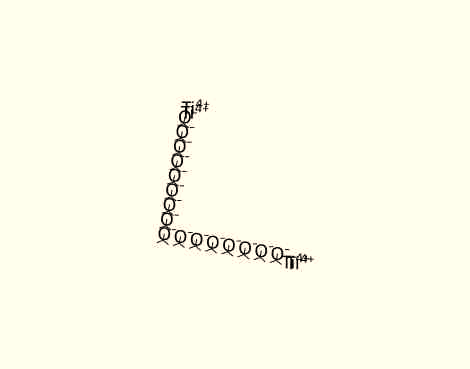 CC(C)[O-].CC(C)[O-].CC(C)[O-].CC(C)[O-].CC(C)[O-].CC(C)[O-].CC(C)[O-].CC(C)[O-].CC(C)[O-].CC(C)[O-].CC(C)[O-].CC(C)[O-].CC(C)[O-].CC(C)[O-].CC(C)[O-].CC(C)[O-].[Ti+4].[Ti+4].[Ti+4].[Ti+4]